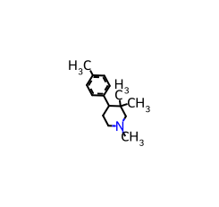 Cc1ccc(C2CCN(C)CC2(C)C)cc1